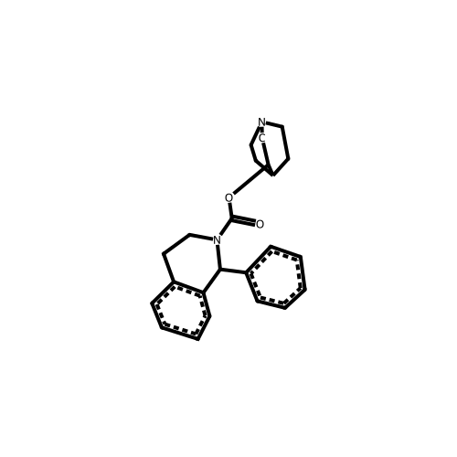 O=C(OC1CN2CCC1CC2)N1CCc2ccccc2C1c1ccccc1